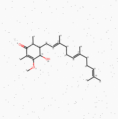 COC1=C(C)C(=O)C(C)C(C/C=C(\C)CC/C=C(\C)CCC=C(C)C)C1O